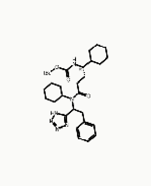 CC(C)(C)OC(=O)N[C@@H](CCC(=O)N(C1CCCCC1)C(Cc1ccccc1)c1nnn[nH]1)C1CCCCC1